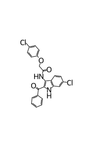 O=C(COc1ccc(Cl)cc1)Nc1c(C(=O)c2ccccc2)[nH]c2cc(Cl)ccc12